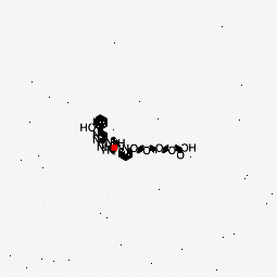 Nc1nnc(-c2ccccc2O)cc1N1C[C@H]2C[C@@H]1CN2c1cccc(OCCOCCOCCOCC(=O)O)n1